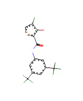 O=C(Nc1cc(C(F)(F)F)cc(C(F)(F)F)c1)c1scc(Br)c1O